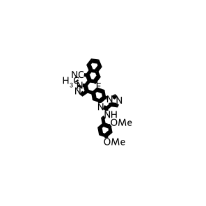 COc1ccc(CNc2nc3cc(-c4cnn(C)c4-c4c(F)cc5ccccc5c4C#N)ccc3n3cncc23)c(OC)c1